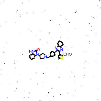 O=Cc1sccc1-c1nc2ccccc2nc1-c1ccc(CN2CCC(n3c(=O)[nH]c4ccccc43)CC2)cc1